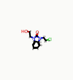 O=c1n(CCO)c2ccccc2n1CCCl